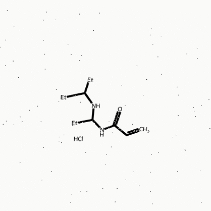 C=CC(=O)NC(CC)NC(CC)CC.Cl